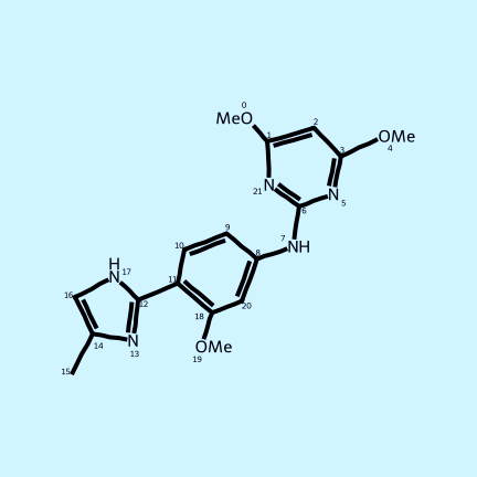 COc1cc(OC)nc(Nc2ccc(-c3nc(C)c[nH]3)c(OC)c2)n1